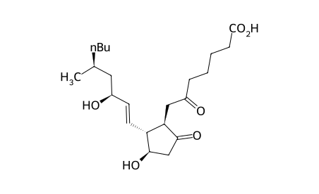 CCCC[C@H](C)C[C@H](O)/C=C/[C@H]1[C@H](O)CC(=O)[C@@H]1CC(=O)CCCCC(=O)O